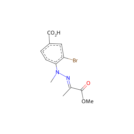 COC(=O)/C(C)=N/N(C)c1ccc(C(=O)O)cc1Br